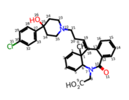 CC12C=CC=CC1N(CC(=O)O)C(=O)c1ccccc1/C2=C/CCN1CCC(O)(c2ccc(Cl)cc2)CC1